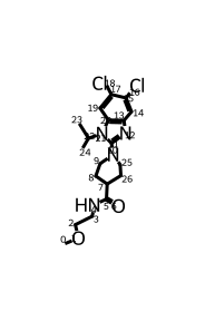 COCCNC(=O)C1CCN(c2nc3cc(Cl)c(Cl)cc3n2C(C)C)CC1